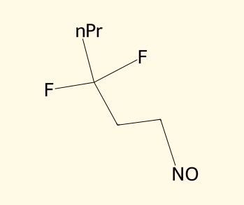 CCCC(F)(F)CCN=O